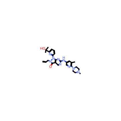 C=CCn1c(=O)c2cnc(Nc3cnc(N4CCN(C)CC4)c(C)c3)nc2n1-c1cccc(C(C)(C)O)n1